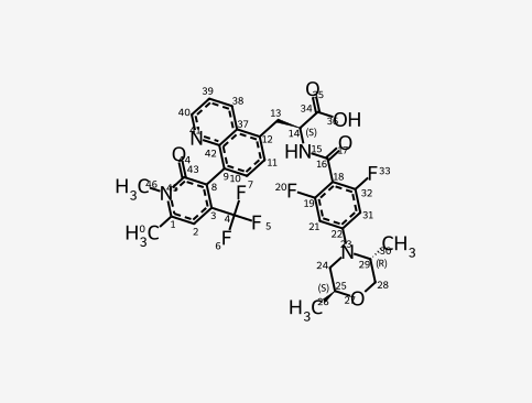 Cc1cc(C(F)(F)F)c(-c2ccc(C[C@H](NC(=O)c3c(F)cc(N4C[C@H](C)OC[C@H]4C)cc3F)C(=O)O)c3cccnc23)c(=O)n1C